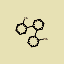 CCCCc1ccccc1-c1[c]cccc1-c1ccccc1CCCC